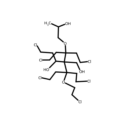 CC(O)COC(CCCl)(CCCl)C(CO)(C(O)CCCl)C(CCCl)(CCCl)OCCCl